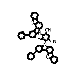 N#Cc1cc(C#N)c(-n2c3ccc(-c4ccccc4)cc3c3c4oc5ccccc5c4ccc32)c(F)c1-n1c2ccc(-c3ccccc3)cc2c2c3oc4ccccc4c3ccc21